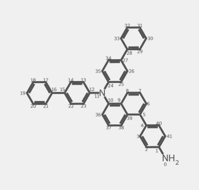 Nc1ccc(-c2cccc3c(N(c4ccc(-c5ccccc5)cc4)c4ccc(-c5ccccc5)cc4)cccc23)cc1